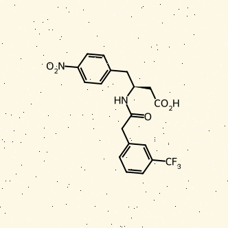 O=C(O)C[C@H](Cc1ccc([N+](=O)[O-])cc1)NC(=O)Cc1cccc(C(F)(F)F)c1